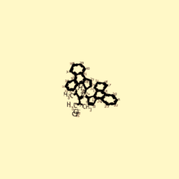 CC(C)[C](C(C)C)=[Zr+2]([CH]1C=Cc2c1c1ccccc1c1ccccc21)[CH]1C=Cc2c1c1ccccc1c1ccccc21.[Cl-].[Cl-]